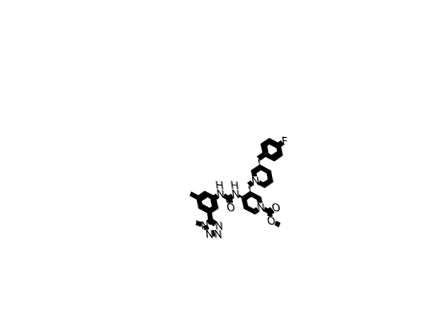 COC(=O)N1CC[C@@H](NC(=O)Nc2cc(C)cc(-c3nnnn3C)c2)[C@H](CN2CCC[C@@H](Cc3ccc(F)cc3)C2)C1